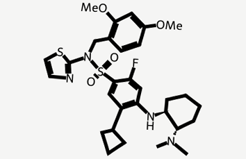 COc1ccc(CN(c2nccs2)S(=O)(=O)c2cc(C3CCC3)c(N[C@H]3CCCC[C@@H]3N(C)C)cc2F)c(OC)c1